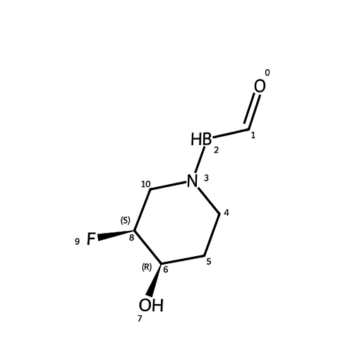 O=CBN1CC[C@@H](O)[C@@H](F)C1